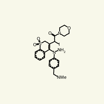 CNCc1ccc(N(N)C2=C(C(I)C(=O)N3CCOCC3)CS(=O)(=O)c3ccccc32)cc1